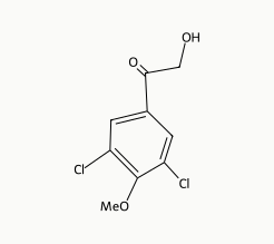 COc1c(Cl)cc(C(=O)CO)cc1Cl